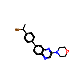 CC(S)c1ccc(-c2ccc3ncc(N4CCOCC4)nc3c2)cc1